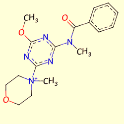 COc1nc(N(C)C(=O)c2ccccc2)nc([N+]2(C)CCOCC2)n1